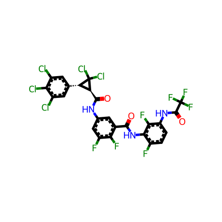 O=C(Nc1c(F)ccc(NC(=O)C(F)(F)F)c1F)c1cc(NC(=O)[C@H]2[C@H](c3cc(Cl)c(Cl)c(Cl)c3)C2(Cl)Cl)cc(F)c1F